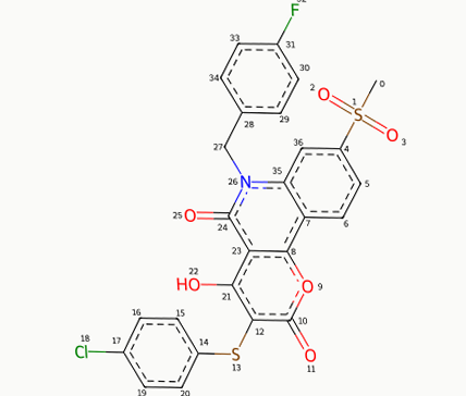 CS(=O)(=O)c1ccc2c3oc(=O)c(Sc4ccc(Cl)cc4)c(O)c3c(=O)n(Cc3ccc(F)cc3)c2c1